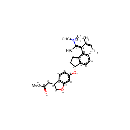 C/C=C(C)\C(=C(\C)N(C)C=O)c1cccc2c1CC[C@H]2Oc1ccc2c(c1)OC[C@H]2CC(=O)OC